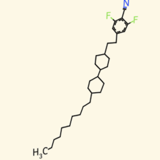 CCCCCCCCCCC1CCC(C2CCC(CCc3cc(F)c(C#N)c(F)c3)CC2)CC1